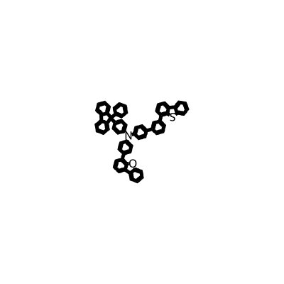 c1ccc(C2(c3ccc(N(c4ccc(-c5cccc(-c6cccc7c6sc6ccccc67)c5)cc4)c4ccc(-c5cccc6c5oc5ccccc56)cc4)cc3)c3ccccc3-c3ccccc32)cc1